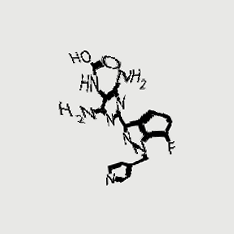 Nc1nc(-c2nn(Cc3ccncc3)c3c(F)cccc23)nc(N)c1NC(=O)O